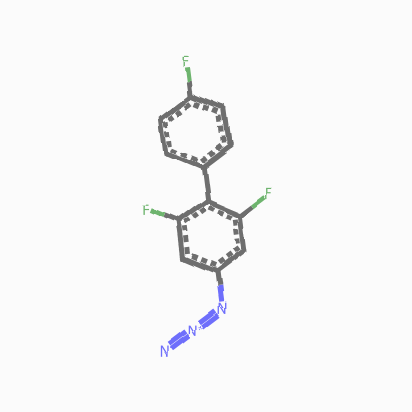 [N-]=[N+]=Nc1cc(F)c(-c2ccc(F)cc2)c(F)c1